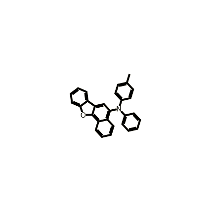 Cc1ccc(N(c2ccccc2)c2cc3c4ccccc4oc3c3ccccc23)cc1